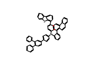 c1ccc(-c2ccc(-c3ccc(N(c4ccc(-c5cccc6c5sc5ccccc56)cc4)c4ccccc4-c4cccc5c4ccc4ccccc45)cc3)cc2-c2ccccc2)cc1